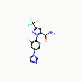 NC(=O)c1cc(C(F)(F)F)nn1-c1ccc(-n2ccnc2)cc1F